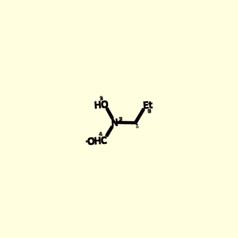 CCCN(O)[C]=O